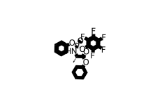 C[C@H](NP(=O)(Oc1ccccc1)Oc1c(F)c(F)c(F)c(F)c1F)C(=O)OC1CCCCC1